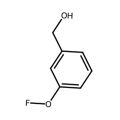 OCc1cccc(OF)c1